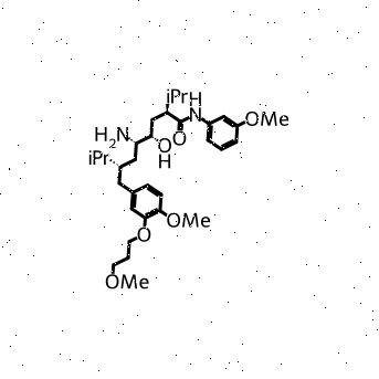 COCCCOc1cc(C[C@@H](C[C@H](N)[C@@H](O)C[C@H](C(=O)Nc2cccc(OC)c2)C(C)C)C(C)C)ccc1OC